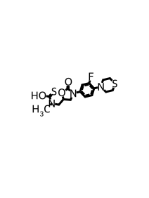 CN(CC1CN(c2ccc(N3CCSCC3)c(F)c2)C(=O)O1)C(O)=S